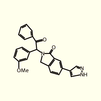 COc1cccc(C(C(=O)c2ccccc2)N2Cc3ccc(-c4cn[nH]c4)cc3C2=O)c1